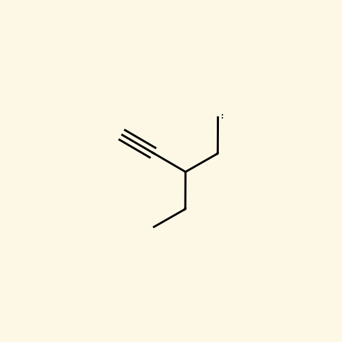 [CH]CC(C#C)CC